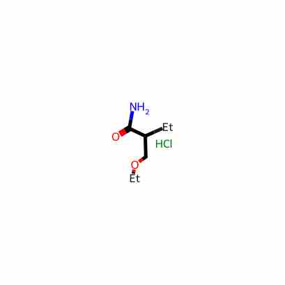 CCOCC(CC)C(N)=O.Cl